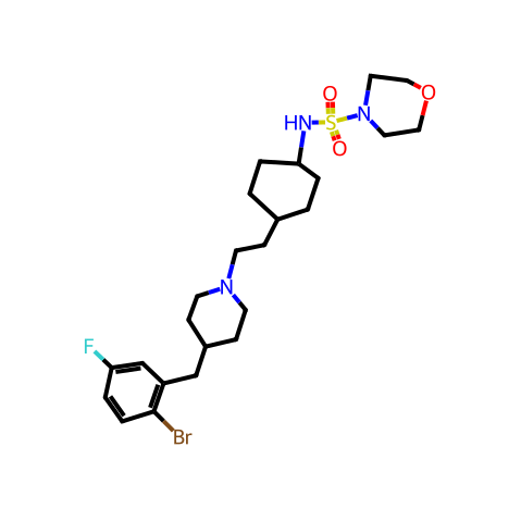 O=S(=O)(NC1CCC(CCN2CCC(Cc3cc(F)ccc3Br)CC2)CC1)N1CCOCC1